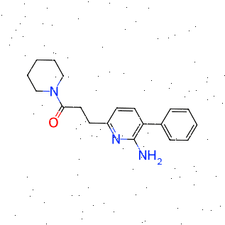 Nc1nc(CCC(=O)N2CCCCC2)ccc1-c1ccccc1